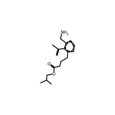 C=C(C)c1c(CN)cccc1CCCC(=O)OCC(C)C